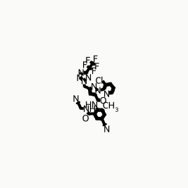 Cc1cc(C#N)cc(C(=O)NCC#N)c1NC(=O)c1cc(Cn2nnc(C(F)(F)C(F)(F)F)n2)nn1-c1ncccc1Cl